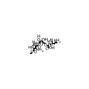 CCOC(=O)C(=N)/C(N)=C(\NC)C(=O)NC1OC(COC(POC(C#N)CC(C)N)C(=O)O)C(O)C1O